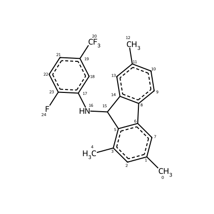 Cc1cc(C)c2c(c1)-c1ccc(C)cc1C2Nc1cc(C(F)(F)F)ccc1F